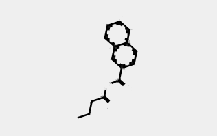 CCCC(=O)OC(=O)c1ccc2ccccc2c1